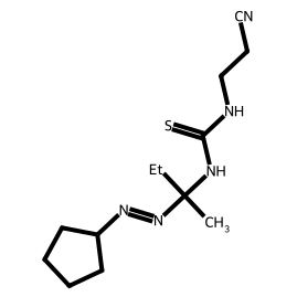 CCC(C)(N=NC1CCCC1)NC(=S)NCCC#N